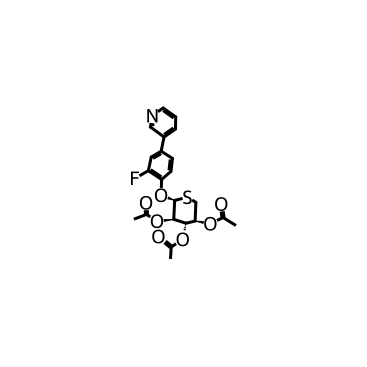 CC(=O)O[C@@H]1[C@@H](OC(C)=O)[C@@H](Oc2ccc(-c3cccnc3)cc2F)SC[C@H]1OC(C)=O